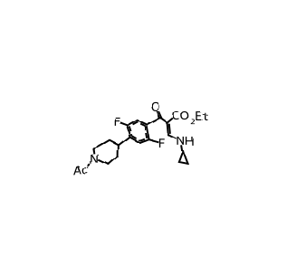 CCOC(=O)C(=CNC1CC1)C(=O)c1cc(F)c(C2CCN(C(C)=O)CC2)cc1F